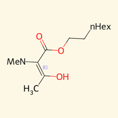 [CH2-][NH2+]/C(C(=O)OCCCCCCCC)=C(\C)O